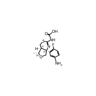 C[C@H]1OC[C@]2(c3cc(N)ccc3F)N=C(NC(=O)O)SC[C@H]12